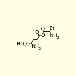 CCC(N)C(=O)OC(=O)CC[C@H](N)[14C](=O)O